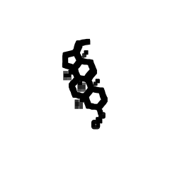 C/C=C1/CC[C@H]2[C@@H]3CC[C@@H]4C[C@H](P=O)CC[C@]4(C)C3=CC[C@]12C